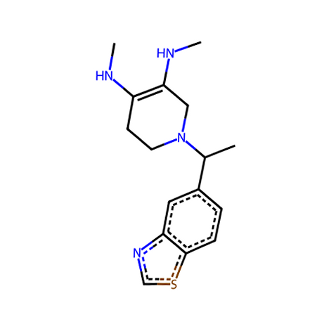 CNC1=C(NC)CN(C(C)c2ccc3scnc3c2)CC1